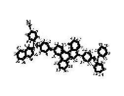 N#Cc1ccc(N(c2ccc(-c3ccc4c(c3)c3ccccc3c3cc(-c5ccc(N(c6ccccc6)c6ccccc6)cc5)c5ccccc5c43)cc2)c2ccc3ccccc3c2)cc1